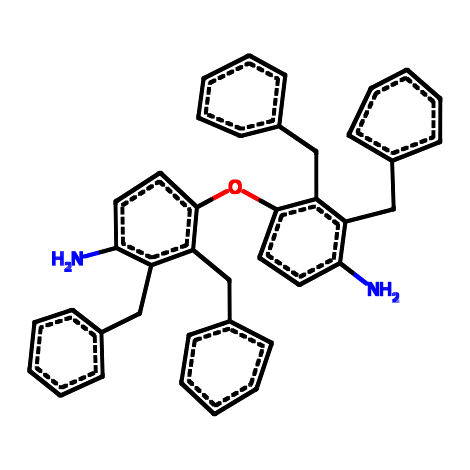 Nc1ccc(Oc2ccc(N)c(Cc3ccccc3)c2Cc2ccccc2)c(Cc2ccccc2)c1Cc1ccccc1